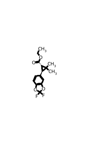 CCOC(=O)[C@H]1[C@H](c2ccc3c(c2)OC(F)(F)O3)C1(C)C